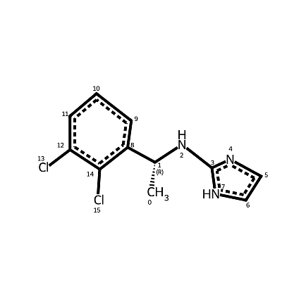 C[C@@H](Nc1ncc[nH]1)c1cccc(Cl)c1Cl